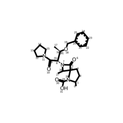 CC1CCC2(C(=O)N([C@H](C(=O)N3CCCC3)[C@@H](C)OCc3ccccc3)C2C)N1C(=O)O